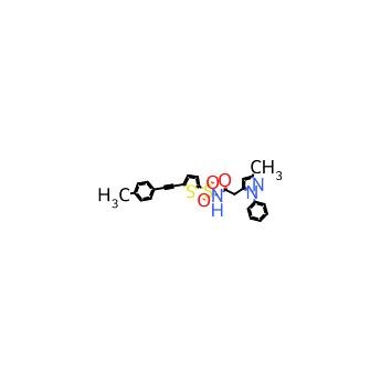 Cc1ccc(C#Cc2ccc(S(=O)(=O)NC(=O)Cc3cc(C)nn3-c3ccccc3)s2)cc1